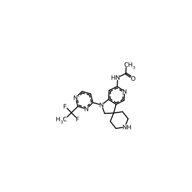 CC(=O)Nc1cc2c(cn1)C1(CCNCC1)CN2c1ccnc(C(C)(F)F)n1